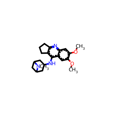 COc1cc2nc3c(c(NC4CC5CC(C4)N5C)c2cc1OC)CCC3